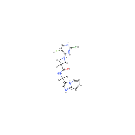 CC1(C(=O)NC(C)(C)c2cnc3ccccn23)CN(c2nc(Cl)ncc2F)C1